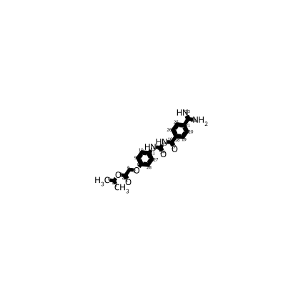 CC(C)OC(=O)COc1ccc(NC(=O)NC(=O)c2ccc(C(=N)N)cc2)cc1